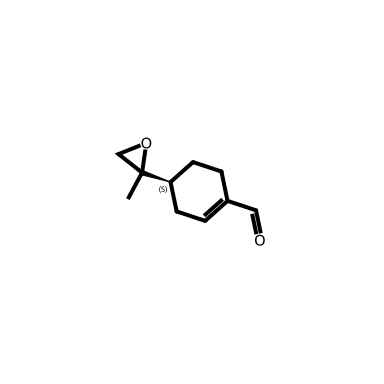 CC1([C@@H]2CC=C(C=O)CC2)CO1